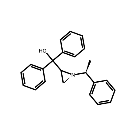 C[C@@H](c1ccccc1)[N@]1CC1C(O)(c1ccccc1)c1ccccc1